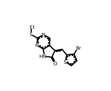 CCSc1ncc2c(n1)NC(=O)C2=Cc1sccc1Br